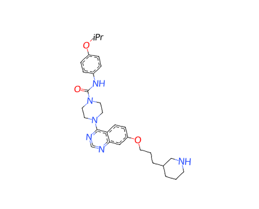 CC(C)Oc1ccc(NC(=O)N2CCN(c3ncnc4cc(OCCCC5CCCNC5)ccc34)CC2)cc1